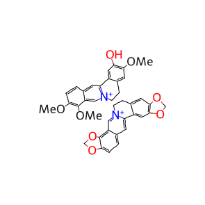 COc1cc2c(cc1O)-c1cc3ccc(OC)c(OC)c3c[n+]1CC2.c1c2c(cc3c1OCO3)-c1cc3ccc4c(c3c[n+]1CC2)OCO4